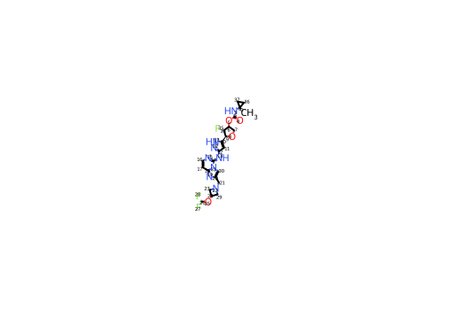 CC1(NC(=O)O[C@H]2CO[C@@H](c3cc(Nc4nccc5nc(CN6CC(OC(F)F)C6)cn45)n[nH]3)[C@@H]2F)CC1